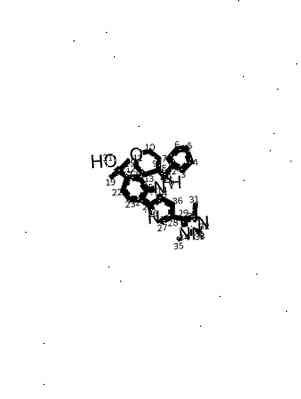 [2H][C@@](c1ccccc1)(C1CCOCC1)n1c2cc(C(C)(C)O)ccc2c2ncc(-c3c(C)nnn3C)cc21